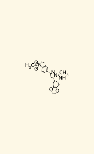 CC(=N)N1N=C(c2ccc3c(c2)CCN3S(C)(=O)=O)CC1c1ccc2c(c1)OCCO2